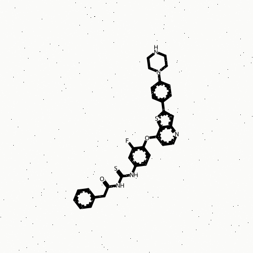 O=C(Cc1ccccc1)NC(=S)Nc1ccc(Oc2ccnc3cc(-c4ccc(N5CCNCC5)cc4)sc23)c(F)c1